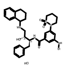 CCNc1cc(C(=O)N[C@@H](Cc2ccccc2)[C@H](O)CNC2CCCc3ccccc32)cc(N2CCCCS2(=O)=O)c1.Cl